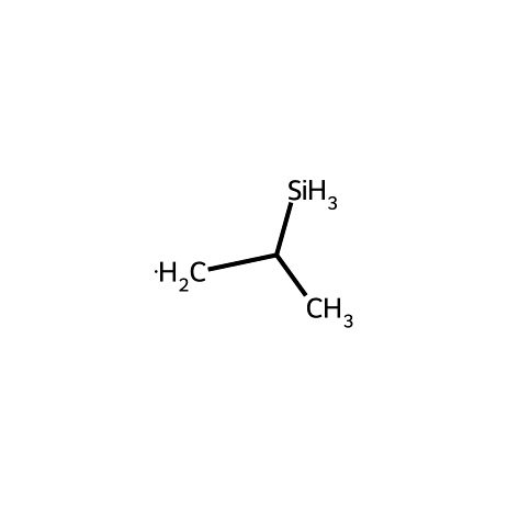 [CH2]C(C)[SiH3]